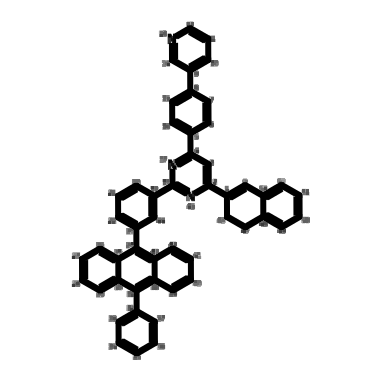 C1=C(c2cc(-c3ccc(-c4cccnc4)cc3)nc(-c3cccc(-c4c5ccccc5c(-c5ccccc5)c5ccccc45)c3)n2)CCc2ccccc21